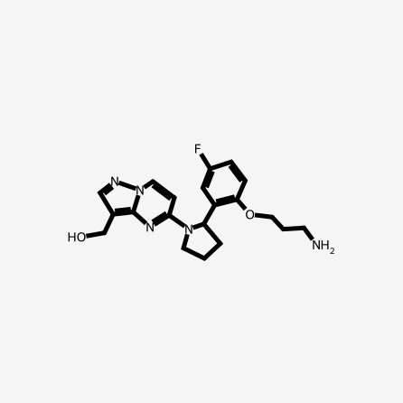 NCCCOc1ccc(F)cc1C1CCCN1c1ccn2ncc(CO)c2n1